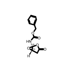 O=C1C[C@@H]2O[C@@]2(NC(=O)OCc2ccccc2)O1